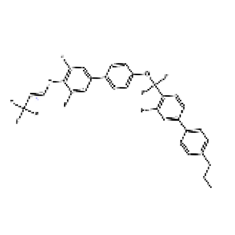 CCCc1ccc(-c2ccc(C(F)(F)Oc3ccc(-c4cc(F)c(O/C=C/C(F)(F)F)c(F)c4)cc3)c(F)c2)cc1